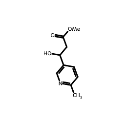 COC(=O)CC(O)c1ccc(C)nc1